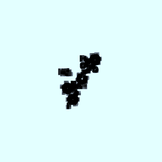 CCn1c(=O)n(CCN2CCC(Nc3nc4ccccc4n3Cc3ccc(F)cc3)CC2)c(=O)c2ccccc21.Cl.Cl